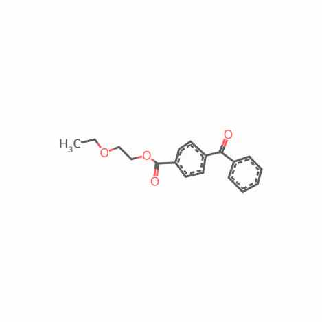 CCOCCOC(=O)c1ccc(C(=O)c2ccccc2)cc1